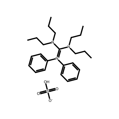 CCCN(CCC)C(N(CCC)CCC)=[N+](c1ccccc1)c1ccccc1.O=S(=O)([O-])O